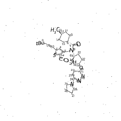 CC(C)(C)C#Cc1cc(N(C(=O)[C@H]2CC[C@H](C)CC2)[C@H]2CC[C@H](Oc3ccc(N4CCCC4)nn3)CC2)c(C(=O)O)s1